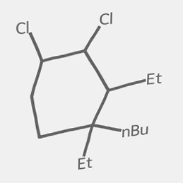 CCCCC1(CC)CCC(Cl)C(Cl)C1CC